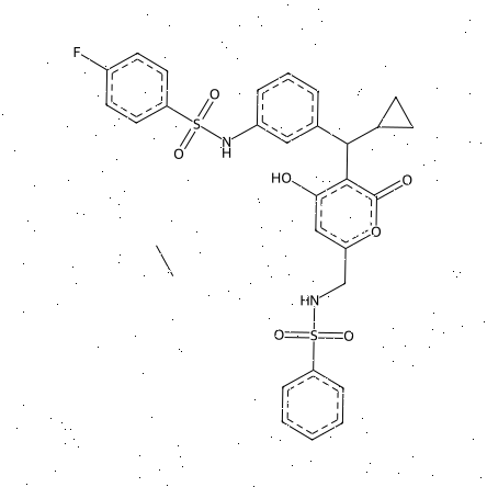 CC.O=c1oc(CNS(=O)(=O)c2ccccc2)cc(O)c1C(c1cccc(NS(=O)(=O)c2ccc(F)cc2)c1)C1CC1